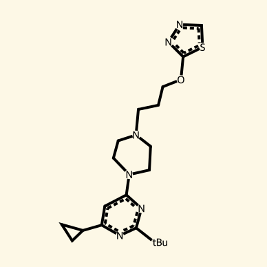 CC(C)(C)c1nc(C2CC2)cc(N2CCN(CCCOc3nncs3)CC2)n1